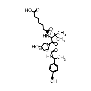 C#Cc1ccc(C(C)NC(=O)[C@@H]2C[C@@H](O)CN2C(=O)C(NC(=O)CCCCCC(=O)O)C(C)(C)C)cc1